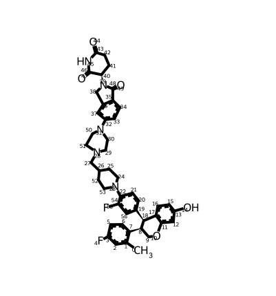 Cc1cc(F)ccc1[C@@H]1COc2cc(O)ccc2[C@@H]1c1ccc(N2CCC(CN3CCN(c4ccc5c(c4)CN([C@H]4CCC(=O)NC4=O)C5=O)CC3)CC2)c(F)c1